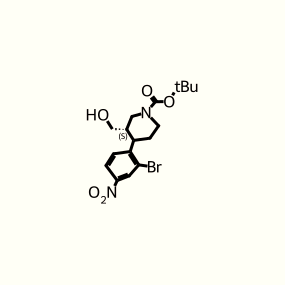 CC(C)(C)OC(=O)N1CCC(c2ccc([N+](=O)[O-])cc2Br)[C@H](CO)C1